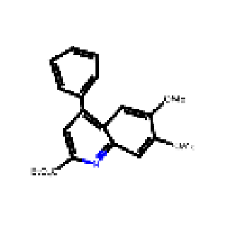 CCOC(=O)c1cc(-c2ccccc2)c2cc(OC)c(OC)cc2n1